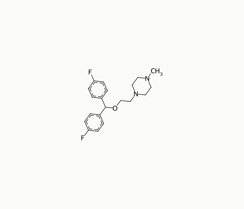 CN1CCN(CCOC(c2ccc(F)cc2)c2ccc(F)cc2)CC1